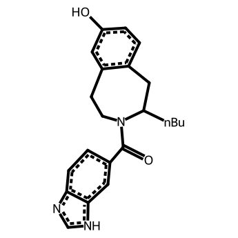 CCCCC1Cc2ccc(O)cc2CCN1C(=O)c1ccc2nc[nH]c2c1